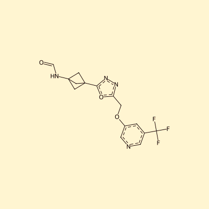 O=CNC12CC(c3nnc(COc4cncc(C(F)(F)F)c4)o3)(C1)C2